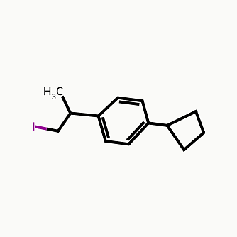 CC(CI)c1ccc(C2CCC2)cc1